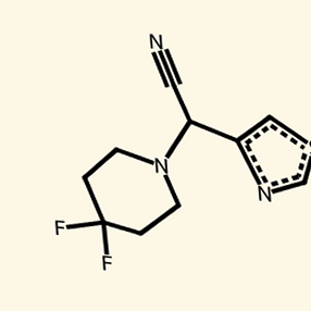 N#CC(c1cscn1)N1CCC(F)(F)CC1